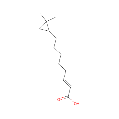 CC1(C)CC1CCCCCC=CC(=O)O